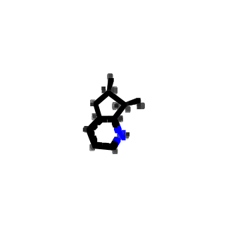 C[C@@H]1Cc2cccnc2[C@@H]1C